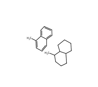 CC1CCCC2CCCCC12.Cc1cccc2ccccc12